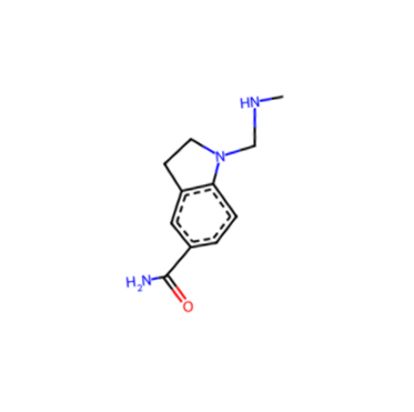 CNCN1CCc2cc(C(N)=O)ccc21